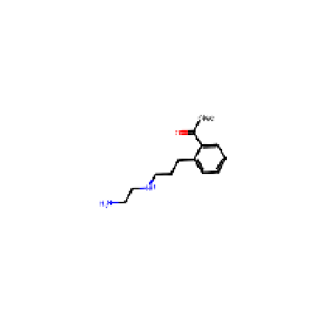 COC(=O)c1ccccc1CCCNCCN